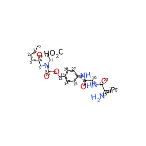 Cc1ccc(CN(CC(=O)O)C(=O)OCc2ccc(NC(=O)CNC(=O)C(N)C(C)C)cc2)o1